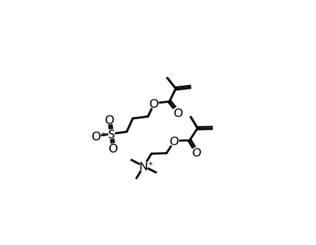 C=C(C)C(=O)OCCCS(=O)(=O)[O-].C=C(C)C(=O)OCC[N+](C)(C)C